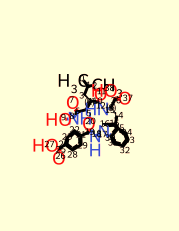 CC(C)C[C@H](CC(=O)NO)C(=O)N[C@@H](Cc1cn(NC(=O)c2ccc(C(=O)O)cc2)c2ccccc12)C(=O)O